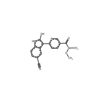 CON(C)C(=O)c1ccc(-c2c(O)[nH]c3ccc(C#N)cc23)nc1